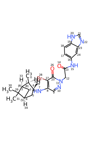 C[C@@H]1[C@H]2C[C@@H](C[C@H]1Nc1cnn(CC(=O)Nc3ccc4[nH]cnc4c3)c(=O)c1Br)C2(C)C